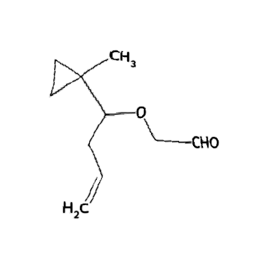 C=CCC(OCC=O)C1(C)CC1